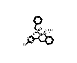 CCc1nc(C(Cc2ccccc2NS(=O)(=O)O)NS(=O)(=O)Cc2ccccc2)cs1